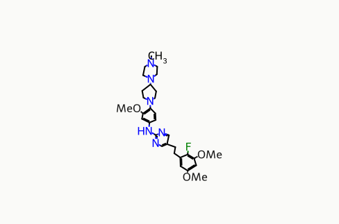 COc1cc(CCc2cnc(Nc3ccc(N4CCC(N5CCN(C)CC5)CC4)c(OC)c3)nc2)c(F)c(OC)c1